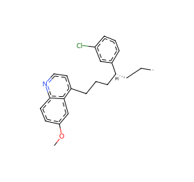 [CH2]CC[C@H](CCCc1ccnc2ccc(OC)cc12)c1cccc(Cl)c1